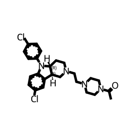 CC(=O)N1CCN(CCN2CC[C@@H]3[C@@H](C2)c2cc(Cl)ccc2N3c2ccc(Cl)cc2)CC1